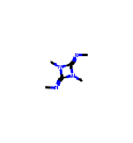 CN=C1N(C)C(=NC)N1C